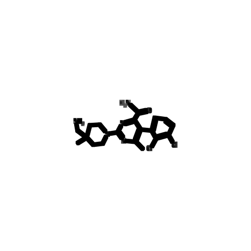 Cc1nc(N2CCC(C)(CN)CC2)nc(C(N)=O)c1-c1cccc(Cl)c1Cl